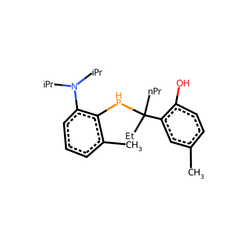 CCCC(CC)(Pc1c(C)cccc1N(C(C)C)C(C)C)c1cc(C)ccc1O